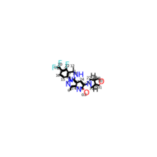 COc1nc2c(C)nnc(N[C@H](C)c3cccc(C(F)F)c3F)c2cc1N1C[C@H]2COC[C@H]2C1